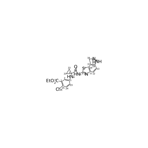 CCOC(=O)c1cc(NC2(C(=O)Nc3nc4ccc5c(c4s3)CNN5)CC2)ccc1Cl